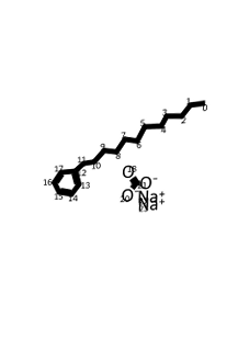 CCCCCCCCCCCCc1ccccc1.O=C([O-])[O-].[Na+].[Na+]